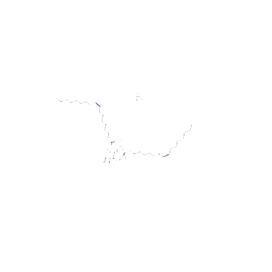 CCCCCCCC/C=C\CCCCCCCC(=O)OC(OC(=O)CCCCCCC/C=C\CCCCCCCC)C(C)[N+](C)(C)C.[Br-]